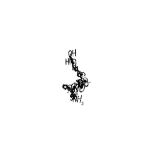 Nc1nc(/C(=N/OC2CCCC2)C(=O)N[C@@H]2C(=O)N3C(C(=O)[O-])=C(C=C4CCN(Cc5cc[n+](CC(=O)NCCO)cc5)C4=O)CS[C@H]23)cs1